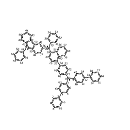 c1ccc(-c2ccc(N(c3ccc(-c4ccccc4)cc3)c3ccc(-c4ccc(N(c5ccccc5)c5ccc6c(c5)c5ccccc5n6-c5ccccc5)c5ccccc45)cc3)cc2)cc1